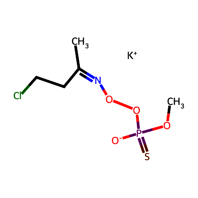 COP([O-])(=S)OON=C(C)CCCl.[K+]